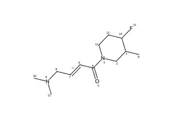 CC1CN(C(=O)/C=C/CN(C)C)CCC1F